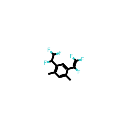 Cc1cc(C)c(C(F)C(F)F)cc1C(F)=C(F)F